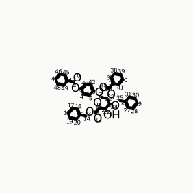 O=C(Oc1ccc(OC2OC(C(=O)OCc3ccccc3)C(O)C(OCc3ccccc3)C2OC(=O)c2ccccc2)cc1)c1ccccc1